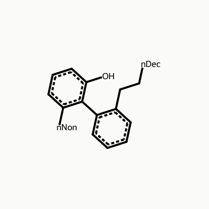 CCCCCCCCCCCCc1ccccc1-c1c(O)cccc1CCCCCCCCC